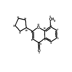 Cc1cccc2c(=O)cc(C3CCCC3)oc12